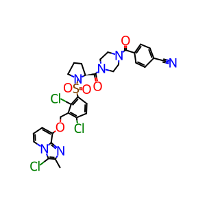 Cc1nc2c(OCc3c(Cl)ccc(S(=O)(=O)N4CCC[C@H]4C(=O)N4CCN(C(=O)c5ccc(C#N)cc5)CC4)c3Cl)cccn2c1Cl